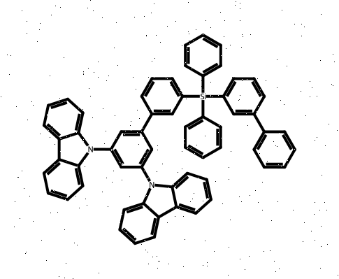 c1ccc(-c2cccc([Si](c3ccccc3)(c3ccccc3)c3cccc(-c4cc(-n5c6ccccc6c6ccccc65)cc(-n5c6ccccc6c6ccccc65)c4)c3)c2)cc1